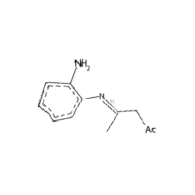 CC(=O)C/C(C)=N/c1ccccc1N